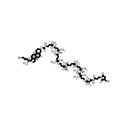 CC(C)CCC[C@@H](C)[C@H]1CC[C@H]2[C@@H]3CC=C4C[C@@H](OC(=O)NCCC(C)(C)OCCC(C)(C)NC(=O)CCC(C)(C)OCCC(C)(C)NC(=O)CCC(C)(C)OCCC(C)(C)NC(=O)C(C)(C)CCOC(C)(C)CCNC(=O)CCN5C(=O)CC(C(C)C)C5=O)CC[C@]4(C)[C@H]3CC[C@]12C